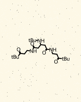 CC(C)(C)NC(CC(=O)NCCC(=O)C(C)(C)C)CC(=O)NCCC(=O)C(C)(C)C